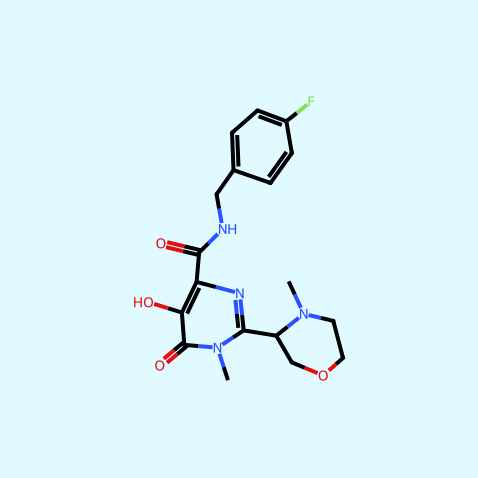 CN1CCOCC1c1nc(C(=O)NCc2ccc(F)cc2)c(O)c(=O)n1C